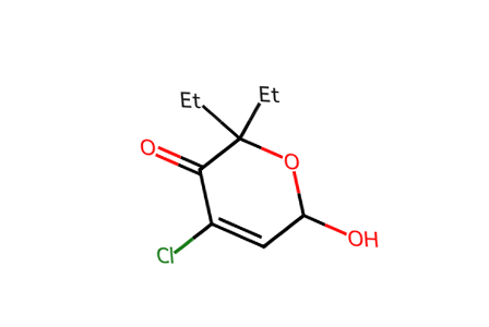 CCC1(CC)OC(O)C=C(Cl)C1=O